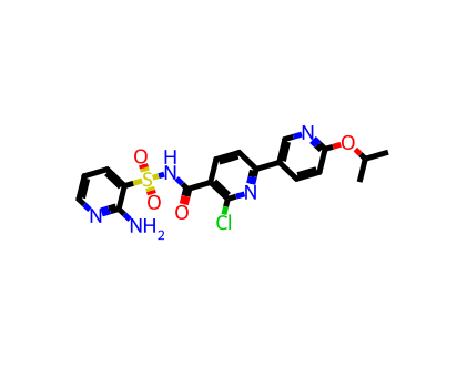 CC(C)Oc1ccc(-c2ccc(C(=O)NS(=O)(=O)c3cccnc3N)c(Cl)n2)cn1